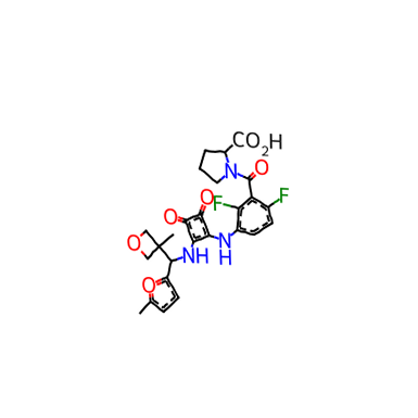 Cc1ccc(C(Nc2c(Nc3ccc(F)c(C(=O)N4CCCC4C(=O)O)c3F)c(=O)c2=O)C2(C)COC2)o1